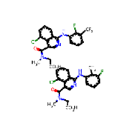 CN(CC(=O)O)C(=O)c1cnc(Nc2cccc(C(F)(F)F)c2F)c2cccc(Cl)c12.CN(CC(=O)O)C(=O)c1cnc(Nc2cccc(F)c2C(F)(F)F)c2cccc(Cl)c12